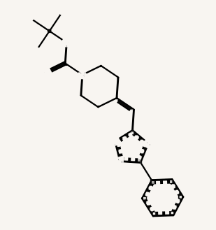 CC(C)(C)OC(=O)N1CCC(=Cc2nc(-c3ccccc3)no2)CC1